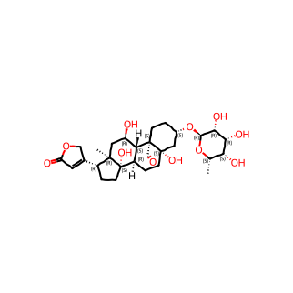 C[C@@H]1O[C@@H](O[C@H]2CC[C@]3(C=O)[C@H]4[C@H](O)C[C@]5(C)[C@@H](C6=CC(=O)OC6)CC[C@]5(O)[C@@H]4CC[C@]3(O)C2)[C@H](O)[C@H](O)[C@@H]1O